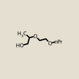 CCCOCCOC(C)CO